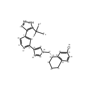 FC(F)(F)c1[nH]nnc1-c1ccnc(-c2cn(C[C@H]3CCCc4ccc(Cl)cc43)cn2)c1